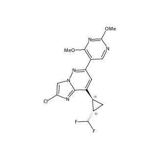 COc1ncc(-c2cc([C@H]3C[C@@H]3C(F)F)c3nc(Cl)cn3n2)c(OC)n1